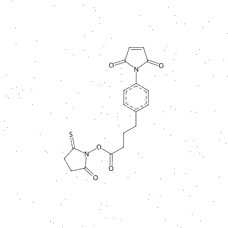 O=C(CCCc1ccc(N2C(=O)C=CC2=O)cc1)ON1C(=O)CCC1=S